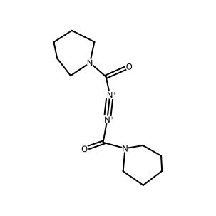 O=C([N+]#[N+]C(=O)N1CCCCC1)N1CCCCC1